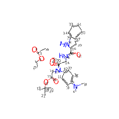 CCOC(C)=O.CN(C)c1ccc(N(CC(=O)OC(C)(C)C)C(=O)CNC(=O)c2cc3ccccc3[nH]2)cc1